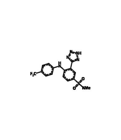 CNS(=O)(=O)c1ccc(Nc2ccc(C(F)(F)F)cc2)c(-c2nn[nH]n2)c1